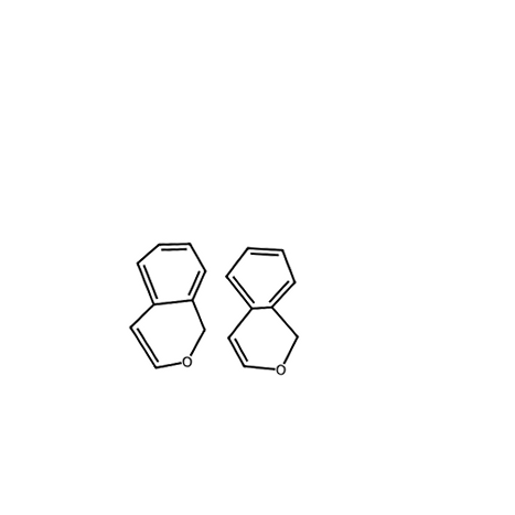 C1=Cc2ccccc2CO1.C1=Cc2ccccc2CO1